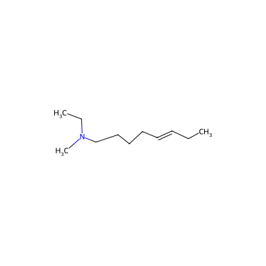 CCC=CCCCCN(C)CC